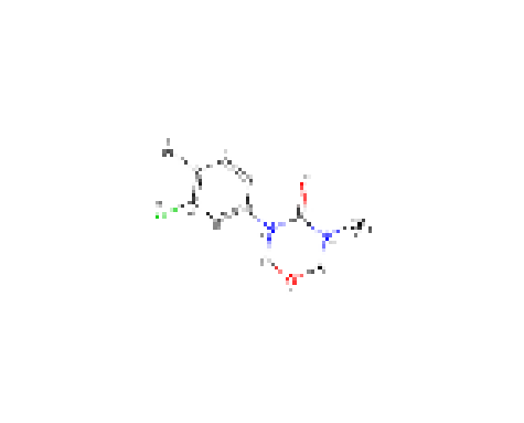 CC(C)c1ccc(N2COCN(C)C2=O)cc1Cl